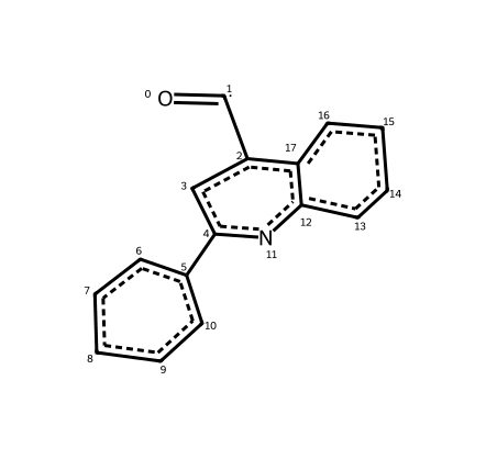 O=[C]c1cc(-c2ccccc2)nc2ccccc12